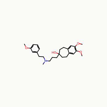 COc1cccc(CCN(C)CCCC2(O)CCc3cc(OC)c(OC)cc3CC2)c1